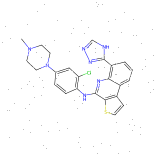 CN1CCN(c2ccc(Nc3nc4c(-c5nnc[nH]5)cccc4c4ccsc34)c(Cl)c2)CC1